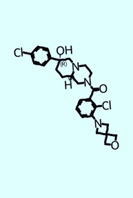 O=C(c1cccc(N2CC3(COC3)C2)c1Cl)N1CCN2C[C@](O)(c3ccc(Cl)cc3)CC[C@H]2C1